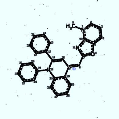 C[n+]1cccc2oc(/C=C3\C=C(c4ccccc4)N(c4ccccc4)c4ccccc43)nc21